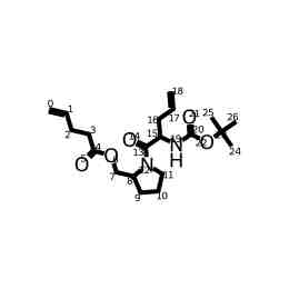 C=CCCC(=O)OCC1CCCN1C(=O)C(CC=C)NC(=O)OC(C)(C)C